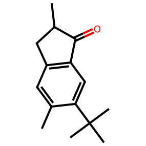 Cc1cc2c(cc1C(C)(C)C)C(=O)C(C)C2